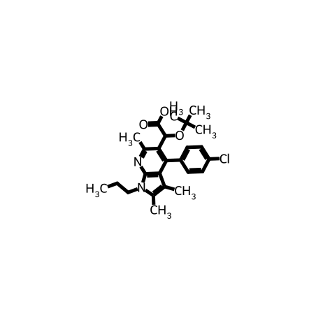 CCCn1c(C)c(C)c2c(-c3ccc(Cl)cc3)c(C(OC(C)(C)C)C(=O)O)c(C)nc21